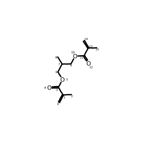 C=C(C)C(=O)OCC(C)COC(=O)C(=C)C